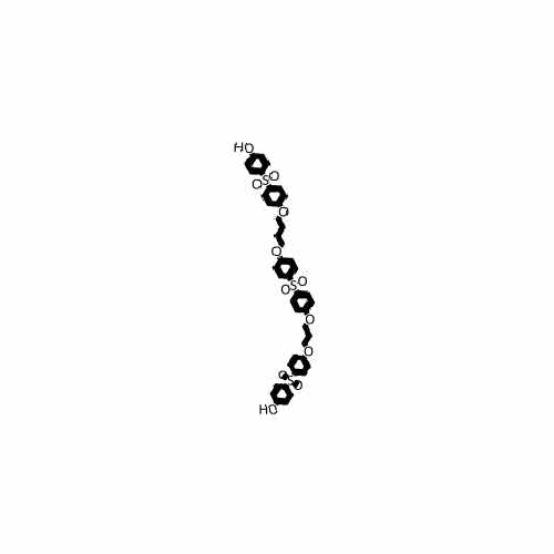 O=S(=O)(c1ccc(O)cc1)c1ccc(OCCCCOc2ccc(S(=O)(=O)c3ccc(OCCCOc4ccc(S(=O)(=O)c5ccc(O)cc5)cc4)cc3)cc2)cc1